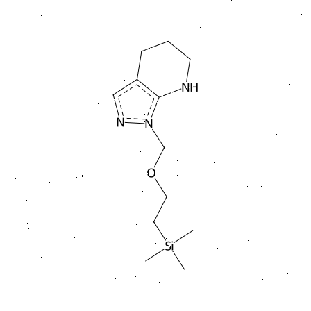 C[Si](C)(C)CCOCn1ncc2c1NCCC2